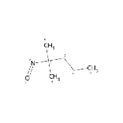 CCCC(C)(C)N=O